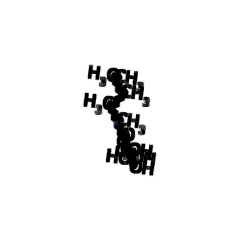 C/C(=C\CCC(=O)OCC(=O)[C@H](O)[C@@H](O)[C@H](O)CO)CCCC(C)CCCC(C)CCCC(C)C